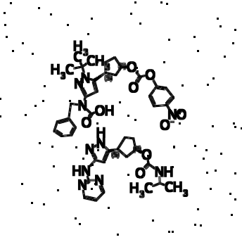 CC(C)(C)n1nc(N(Cc2ccccc2)C(=O)O)cc1[C@H]1CC[C@@H](OC(=O)Oc2ccc([N+](=O)[O-])cc2)C1.CC(C)NC(=O)O[C@@H]1CC[C@H](c2cc(Nc3ncccn3)n[nH]2)C1